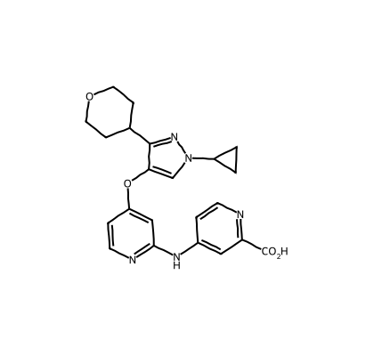 O=C(O)c1cc(Nc2cc(Oc3cn(C4CC4)nc3C3CCOCC3)ccn2)ccn1